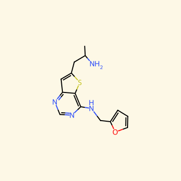 CC(N)Cc1cc2ncnc(NCc3ccco3)c2s1